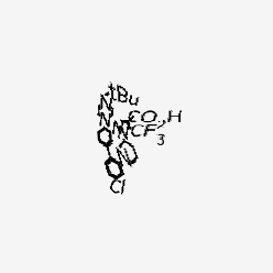 CC(C)(C)CN1CCN(c2ccc(-c3ccc(Cl)cc3N3CCCC(n4ncc(C(=O)O)c4C(F)(F)F)C3)cc2)CC1